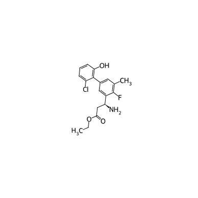 CCOC(=O)C[C@H](N)c1cc(-c2c(O)cccc2Cl)cc(C)c1F